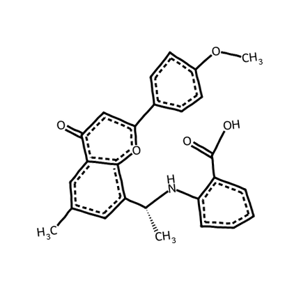 COc1ccc(-c2cc(=O)c3cc(C)cc([C@@H](C)Nc4ccccc4C(=O)O)c3o2)cc1